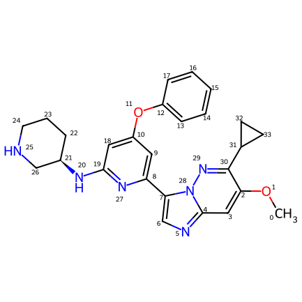 COc1cc2ncc(-c3cc(Oc4ccccc4)cc(N[C@@H]4CCCNC4)n3)n2nc1C1CC1